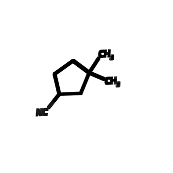 CC1(C)CCC(C#N)C1